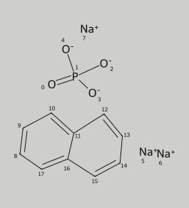 O=P([O-])([O-])[O-].[Na+].[Na+].[Na+].c1ccc2ccccc2c1